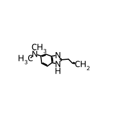 C=CCc1nc2cc(N(C)C)ccc2[nH]1